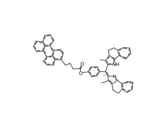 CC1=C2CCc3ccccc3C2=N/C1=C(/c1ccc(OC(=O)CCCc2ccc3c4cccc5cccc(c6cccc2c63)c54)cc1)c1[nH]c2c(c1C)CCc1ccccc1-2